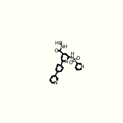 O=C(NO)c1cc(NS(=O)(=O)c2cccnc2)nc(-c2ccc(-c3cccnc3)cc2)c1